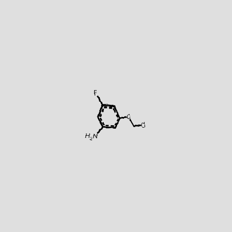 Nc1cc(F)cc(OCCl)c1